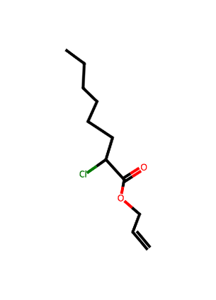 C=CCOC(=O)C(Cl)CCCCCC